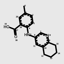 Cc1ccc(Nc2cnc3c(c2)CCCC3)c(C(=O)O)c1